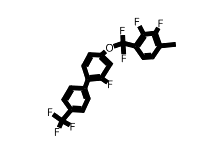 Cc1ccc(C(F)(F)Oc2ccc(-c3ccc(C(F)(F)F)cc3)c(F)c2)c(F)c1F